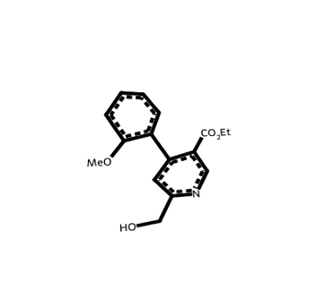 CCOC(=O)c1cnc(CO)cc1-c1ccccc1OC